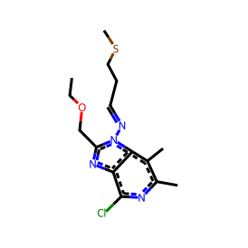 CCOCc1nc2c(Cl)nc(C)c(C)c2n1N=CCCSC